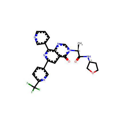 C[C@@H](C(=O)N[C@H]1CCOC1)n1cnc2c(-c3cccnc3)nc(-c3ccc(C(F)(F)F)nc3)cc2c1=O